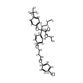 CCCCC(Oc1ccc(C(C)(C)C)cc1)(C(=O)OCC)c1ccc(OCCCOc2ccc(Cl)cc2)cc1